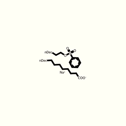 CCCCCCCCCCCCCCCCCC(=O)[O-].CCCCCCCCCCCCOS(=O)(=O)c1ccccc1.[Na+]